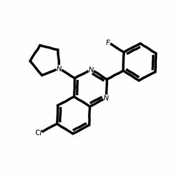 Fc1ccccc1-c1nc(N2CCCC2)c2cc(Cl)ccc2n1